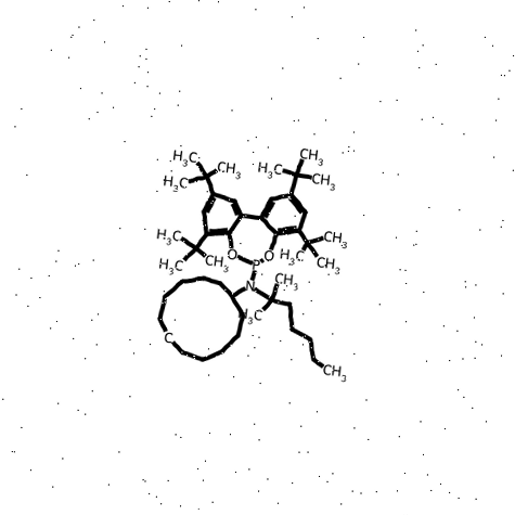 CCCCCC(C)(C)N(C1CCCCCCCCCCC1)p1oc2c(C(C)(C)C)cc(C(C)(C)C)cc2c2cc(C(C)(C)C)cc(C(C)(C)C)c2o1